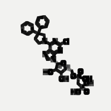 O=P(O)(O)CP(=O)(O)OC[C@H]1O[C@@H](n2cnc3c(N4CCC(c5ccccc5)(c5ccccc5)C4)nc(Cl)nc32)C(O)C1O